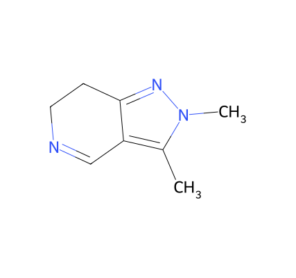 Cc1c2c(nn1C)CCN=C2